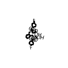 O=C(O)CN(Cc1ccccc1CN(CC(=O)O)S(=O)(=O)c1ccc(F)cc1)S(=O)(=O)c1ccc(F)cc1